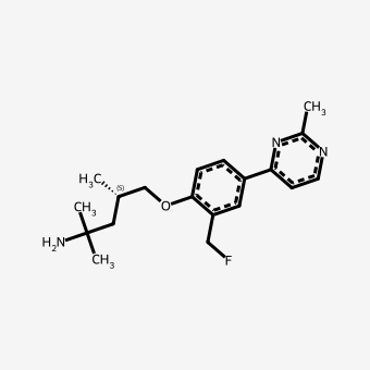 Cc1nccc(-c2ccc(OC[C@@H](C)CC(C)(C)N)c(CF)c2)n1